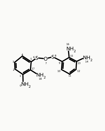 Nc1cccc(SOSc2cccc(N)c2N)c1N